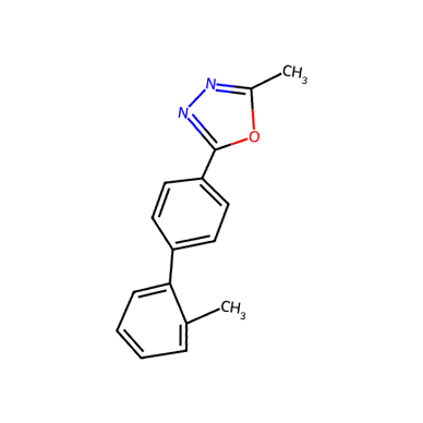 Cc1nnc(-c2ccc(-c3ccccc3C)cc2)o1